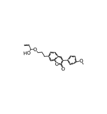 C=CC(O)OCCCc1ccc2cc(-c3ccc(OC)cc3)c(=O)oc2c1